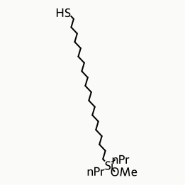 CCC[Si](CCC)(CCCCCCCCCCCCCCCCCCCCS)OC